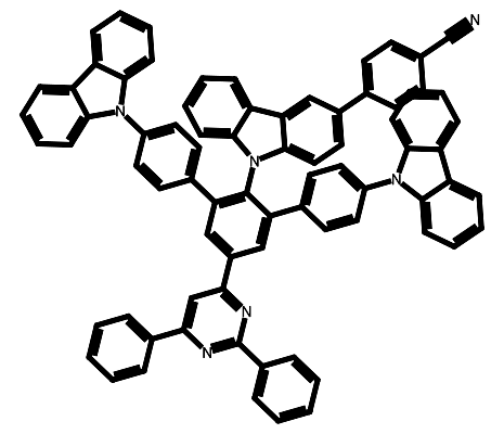 N#Cc1ccc(-c2ccc3c(c2)c2ccccc2n3-c2c(-c3ccc(-n4c5ccccc5c5ccccc54)cc3)cc(-c3cc(-c4ccccc4)nc(-c4ccccc4)n3)cc2-c2ccc(-n3c4ccccc4c4ccccc43)cc2)cc1